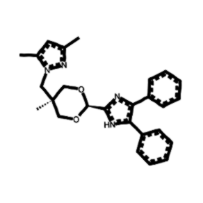 Cc1cc(C)n(C[C@]2(C)CO[C@H](c3nc(-c4ccccc4)c(-c4ccccc4)[nH]3)OC2)n1